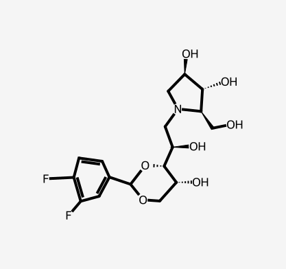 OC[C@@H]1[C@@H](O)[C@H](O)CN1C[C@@H](O)[C@H]1OC(c2ccc(F)c(F)c2)OC[C@H]1O